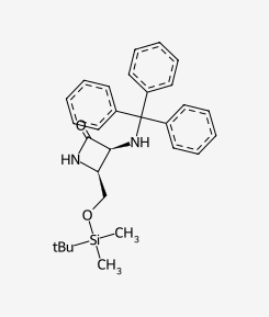 CC(C)(C)[Si](C)(C)OC[C@H]1NC(=O)[C@H]1NC(c1ccccc1)(c1ccccc1)c1ccccc1